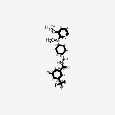 COc1cccnc1N(C)[C@H]1CC[C@@H](CNC(=O)c2cc(F)cc(C(F)(F)F)c2)CC1